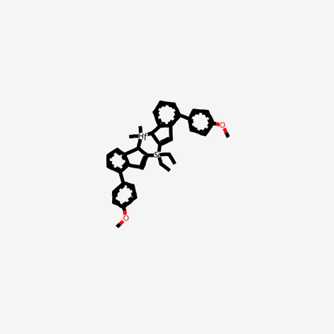 CC[Si]1(CC)C2=Cc3c(-c4ccc(OC)cc4)cccc3[CH]2[Hf]([CH3])([CH3])[CH]2C1=Cc1c(-c3ccc(OC)cc3)cccc12